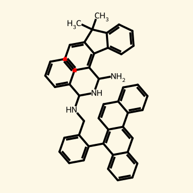 CC1(C)c2ccccc2-c2c(C(N)NC(NCc3ccccc3-c3c4ccccc4cc4c3ccc3ccccc34)c3ccccc3)cccc21